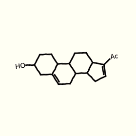 CC(=O)C1=CCC2C1CCC1C3CCC(O)CC3=CCC12